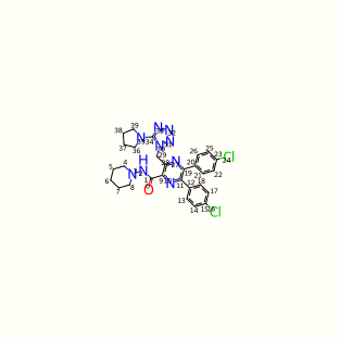 O=C(NN1CCCCC1)c1nc(-c2ccc(Cl)cc2)c(-c2ccc(Cl)cc2)nc1Cn1nnnc1N1CCCC1